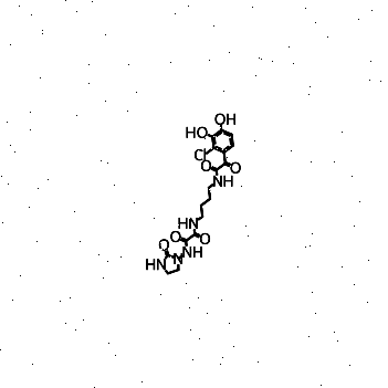 O=C(NCCCCNC(=O)C(=O)c1ccc(O)c(O)c1Cl)C(=O)NN1CCNC1=O